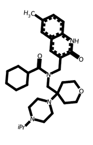 Cc1ccc2[nH]c(=O)c(CN(CC3(N4CCN(C(C)C)CC4)CCOCC3)C(=O)C3CCCCC3)cc2c1